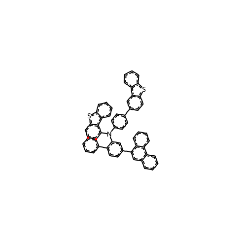 c1ccc(-c2ccc(-c3cc4ccccc4c4ccccc34)cc2N(c2ccc(-c3ccc4sc5ccccc5c4c3)cc2)c2cccc3sc4ccccc4c23)cc1